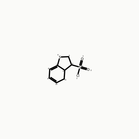 O=S(=O)(Cl)C1CSC2=CC=CCC21